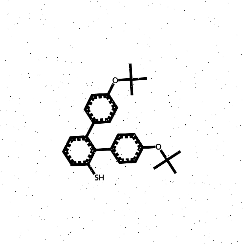 CC(C)(C)Oc1ccc(-c2cccc(S)c2-c2ccc(OC(C)(C)C)cc2)cc1